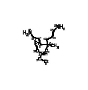 CCO[SiH](OCC)OC(C)(CCCN)CCCN